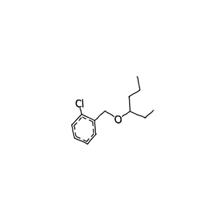 CCCC(CC)OCc1ccccc1Cl